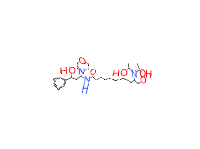 CC(O)N(C(C)O)C(C=O)CCCCCCCC(=O)NC(CC(O)c1ccccc1)N1CCOCC1